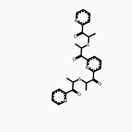 CC(SC(C)C(=O)c1cccc(C(=O)C(C)SC(C)C(=O)c2ccccn2)n1)C(=O)c1ccccn1